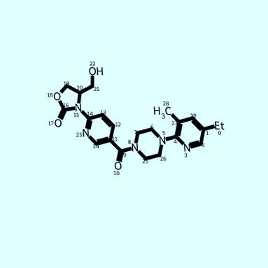 CCc1cnc(N2CCN(C(=O)c3ccc(N4C(=O)OCC4CO)nc3)CC2)c(C)c1